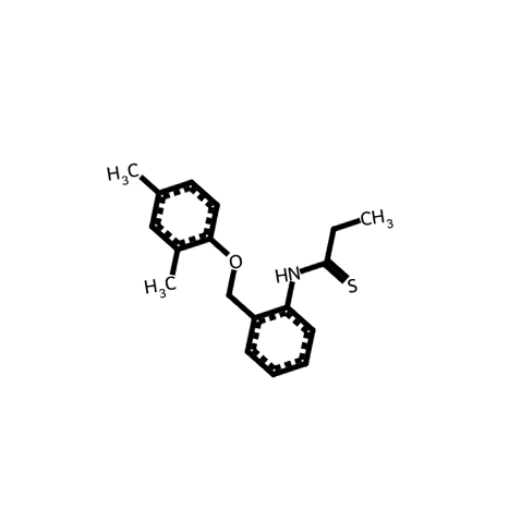 CCC(=S)Nc1ccccc1COc1ccc(C)cc1C